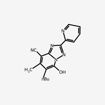 CCCCc1c(C)c(C#N)c2nc(-c3ccccn3)nn2c1O